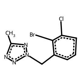 Cc1nnn(Cc2cccc(Cl)c2Br)n1